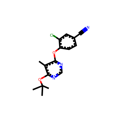 Cc1c(Oc2ccc(C#N)cc2Cl)ncnc1OC(C)(C)C